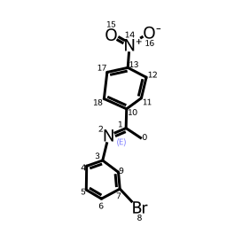 C/C(=N\c1cccc(Br)c1)c1ccc([N+](=O)[O-])cc1